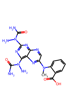 CN(c1cnc2nc(N(N)C(N)=O)nc(N(N)C(N)=O)c2n1)c1ccccc1C(=O)O